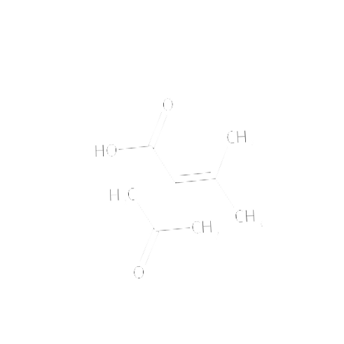 CC(C)=CC(=O)O.CC(C)=O